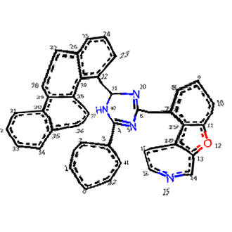 c1ccc(C2=NC(c3cccc4oc5cnccc5c34)=NC(c3cccc4ccc5c6ccccc6ccc5c34)N2)cc1